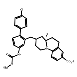 CC(C)(C)OC(=O)Nc1ccc(-c2ccc(Cl)cc2)c(CN2CCN3c4ccc(C(=O)O)cc4CC[C@@H]3C2)c1